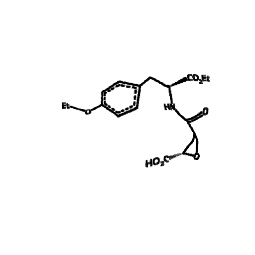 CCOC(=O)[C@H](Cc1ccc(OCC)cc1)NC(=O)C1O[C@@H]1C(=O)O